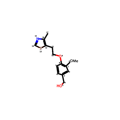 COc1cc(CO)ccc1OCCc1scnc1C